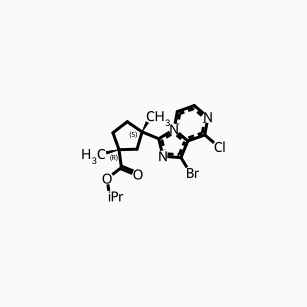 CC(C)OC(=O)[C@]1(C)CC[C@](C)(c2nc(Br)c3c(Cl)nccn23)C1